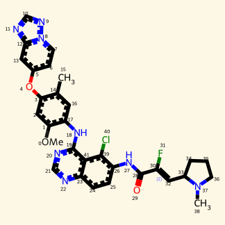 COc1cc(Oc2ccn3ncnc3c2)c(C)cc1Nc1ncnc2ccc(NC(=O)/C(F)=C/C3CCCN3C)c(Cl)c12